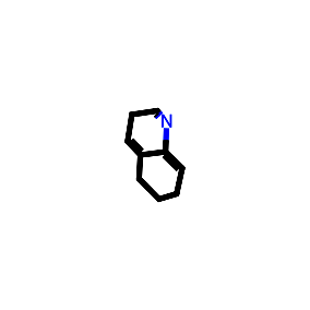 C1=NC2=CCCCC2=CC1